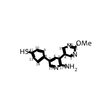 COc1ncc(-c2cc(-c3ccc(S)cc3)cnc2N)cn1